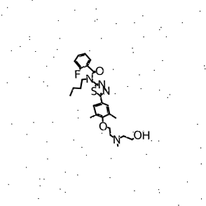 CCCCN(C(=O)c1ccccc1F)c1nnc(-c2cc(C)c(OCCN(C)CCO)c(C)c2)s1